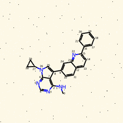 CNc1ncnc2c1c(-c1ccc3ccc(-c4ccccc4)nc3c1)cn2C1CC1